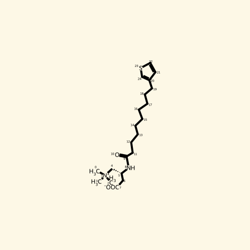 C[N+](C)(C)C[C@@H](CC(=O)[O-])NC(=O)CCCCCCCCCc1ccsc1